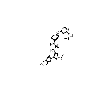 CC(C)Nc1cc(Oc2ccc(NC(=O)Nc3cn(C(C)C)nc3-c3ccc4c(c3)CCN(C)C4)cc2)ccn1